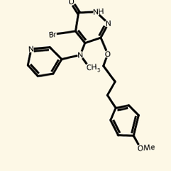 COc1ccc(CCCOc2n[nH]c(=O)c(Br)c2N(C)c2cccnc2)cc1